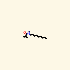 C=C(C)C(=O)N(C)CCCCCCCCC